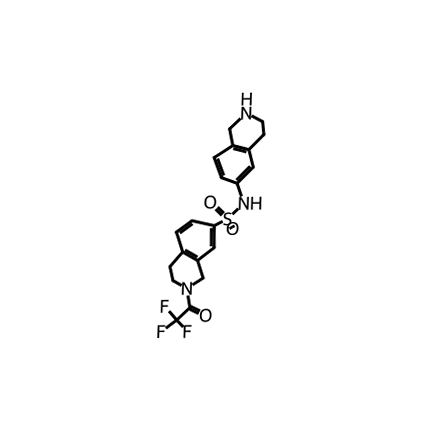 O=C(N1CCc2ccc(S(=O)(=O)Nc3ccc4c(c3)CCNC4)cc2C1)C(F)(F)F